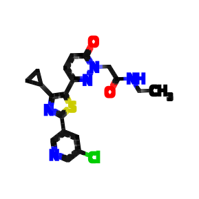 CCNC(=O)Cn1nc(-c2sc(-c3cncc(Cl)c3)nc2C2CC2)ccc1=O